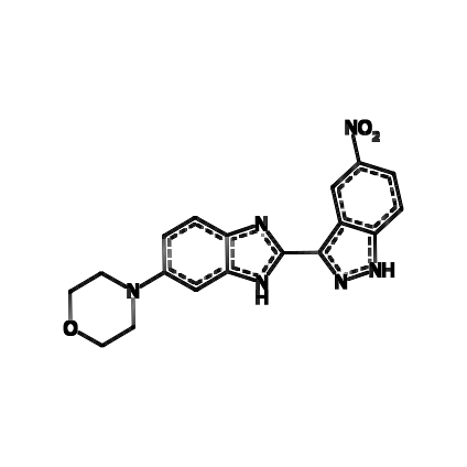 O=[N+]([O-])c1ccc2[nH]nc(-c3nc4ccc(N5CCOCC5)cc4[nH]3)c2c1